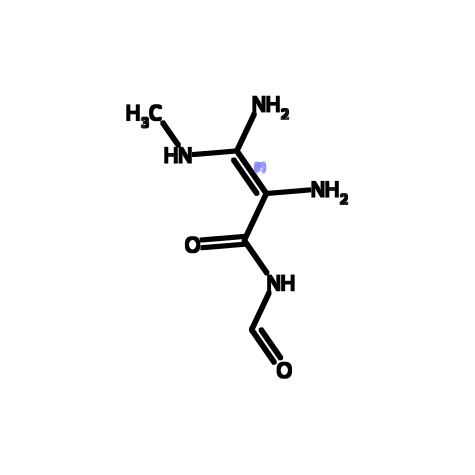 CN/C(N)=C(/N)C(=O)NC=O